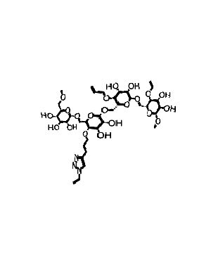 CCCO[C@H]1[C@H](O)[C@@H](O)[C@@H](OC[C@H]2O[C@H](OC)[C@H](O)[C@@H](O)[C@@H]2OCC)O[C@@H]1CO[C@H]1O[C@H](CO[C@H]2O[C@H](COC)[C@@H](O)[C@H](O)[C@H]2O)[C@@H](OCCCc2cn(CC)nn2)[C@H](O)[C@H]1O